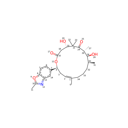 CC1=CC[C@@H](c2ccc3oc(C)nc3c2)OC(=O)C[C@H](O)C(C)(C)C(=O)[C@H](C)[C@@H](O)[C@@H](C)CCC1